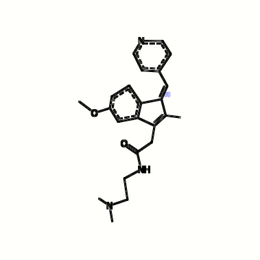 COc1ccc2c(c1)C(CC(=O)NCCN(C)C)=C(C)/C2=C/c1ccncc1